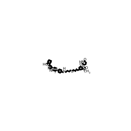 Cn1c(=O)n(C2CCC(=O)NC2=O)c2ccc(CCCCOCCCCNCc3ccc(N4CCN(c5cc(-c6ccccc6O)nnc5N)CC4)cc3)cc21